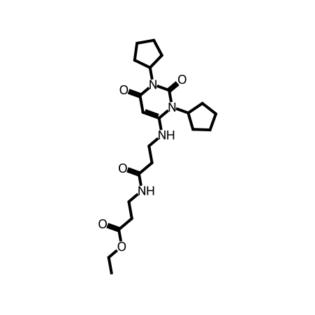 CCOC(=O)CCNC(=O)CCNc1cc(=O)n(C2CCCC2)c(=O)n1C1CCCC1